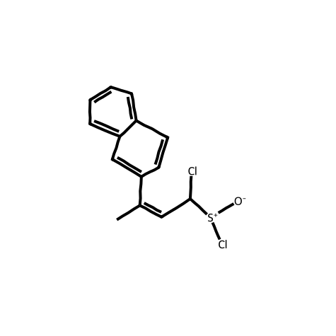 C/C(=C/C(Cl)[S+]([O-])Cl)c1ccc2ccccc2c1